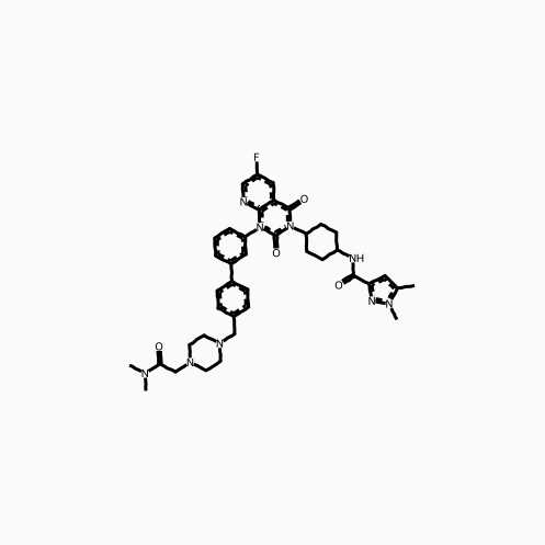 Cc1cc(C(=O)NC2CCC(n3c(=O)c4cc(F)cnc4n(-c4cccc(-c5ccc(CN6CCN(CC(=O)N(C)C)CC6)cc5)c4)c3=O)CC2)nn1C